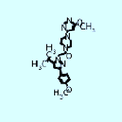 COc1ccc(-c2cc(C(C)C)n(CC(=O)N3CCN(c4cc(OC)ncn4)CC3)n2)cc1